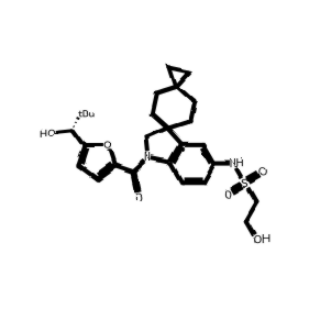 CC(C)(C)[C@@H](O)c1ccc(C(=O)N2CC3(CCC4(CC4)CC3)c3cc(NS(=O)(=O)CCO)ccc32)o1